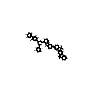 CC1(C)c2ccccc2-c2cc3c(cc21)C1C=C(c2ccc4sc5c(-c6cc(-c7ccc8c(c7)oc7ccccc78)nc(-c7ccccc7)n6)cccc5c4c2)CCC1C3(C)C